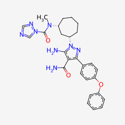 CN(C(=O)n1cncn1)[C@@H]1CCCC[C@H](n2nc(-c3ccc(Oc4ccccc4)cc3)c(C(N)=O)c2N)C1